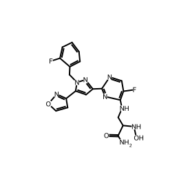 NC(=O)C(CNc1nc(-c2cc(-c3ccon3)n(Cc3ccccc3F)n2)ncc1F)NO